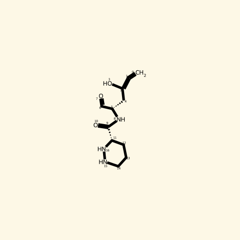 C=C=C(O)C[C@@H](C=O)NC(=O)[C@@H]1CCCNN1